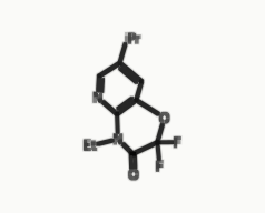 CCN1C(=O)C(F)(F)Oc2cc(C(C)C)cnc21